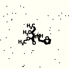 CC[C@H](C)[C@H](NCc1ccco1)C(=O)OC